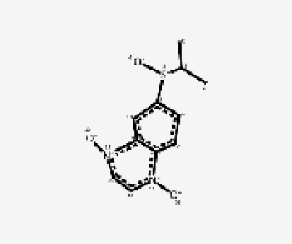 CC(C)[S+]([O-])c1ccc2c(c1)[n+]([O-])cc[n+]2[O-]